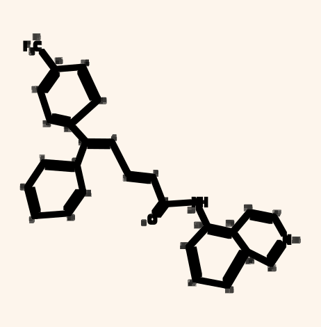 O=C(/C=C/C=C(\c1ccccc1)c1ccc(C(F)(F)F)cc1)Nc1cccc2cnccc12